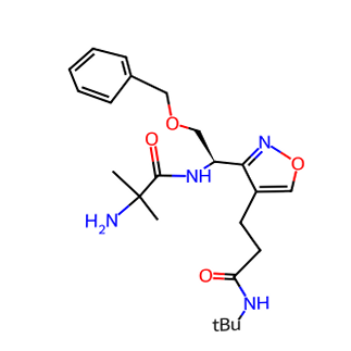 CC(C)(C)NC(=O)CCc1conc1[C@H](COCc1ccccc1)NC(=O)C(C)(C)N